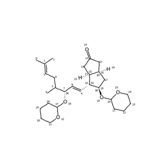 CC(C)=CCC(C)[C@H](C=C[C@@H]1[C@H]2CC(=O)C[C@H]2C[C@H]1OC1CCCCO1)OC1CCCCO1